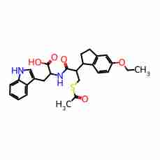 CCOc1ccc2c(c1)CCC2C(CSC(C)=O)C(=O)NC(Cc1c[nH]c2ccccc12)C(=O)O